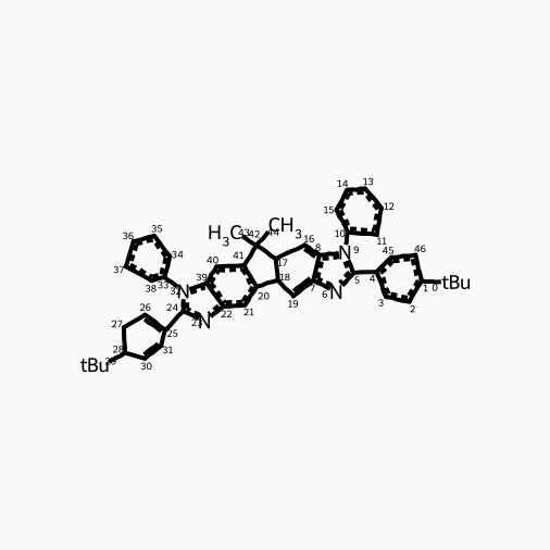 CC(C)(C)c1ccc(-c2nc3c(n2-c2ccccc2)=CC2C(C=3)c3cc4nc(C5=CCC(C(C)(C)C)C=C5)n(-c5ccccc5)c4cc3C2(C)C)cc1